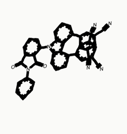 N#Cc1cc(C#N)cc(-c2cccc3c2c2c(-c4cc(C#N)cc(C#N)c4)cccc2n3-c2cccc3c2C(=O)N(c2ccccc2)C3=O)c1